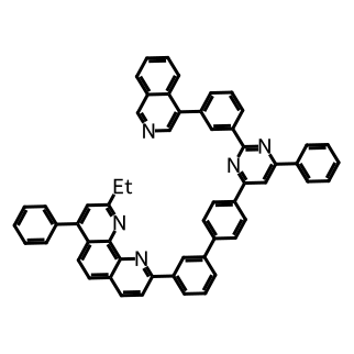 CCc1cc(-c2ccccc2)c2ccc3ccc(-c4cccc(-c5ccc(-c6cc(-c7ccccc7)nc(-c7cccc(-c8cncc9ccccc89)c7)n6)cc5)c4)nc3c2n1